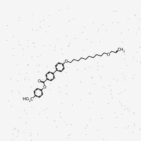 C=CCOCCCCCCCCCCOc1ccc(-c2ccc(C(=O)Oc3ccc(C(=O)O)cc3)cc2)cc1